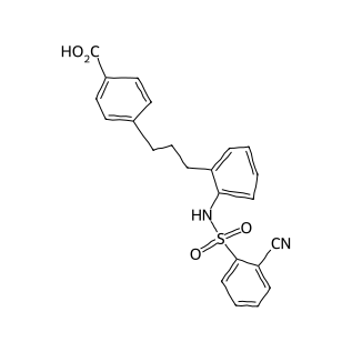 N#Cc1ccccc1S(=O)(=O)Nc1ccccc1CCCc1ccc(C(=O)O)cc1